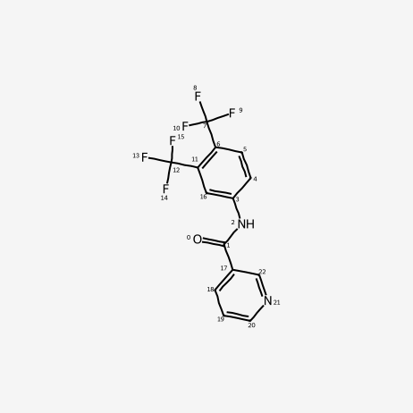 O=C(Nc1ccc(C(F)(F)F)c(C(F)(F)F)c1)c1cccnc1